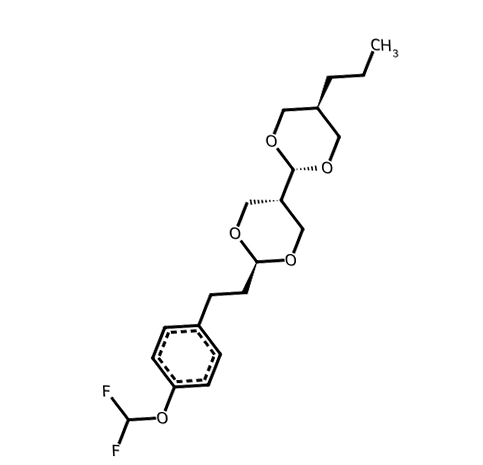 CCC[C@H]1CO[C@H]([C@H]2CO[C@H](CCc3ccc(OC(F)F)cc3)OC2)OC1